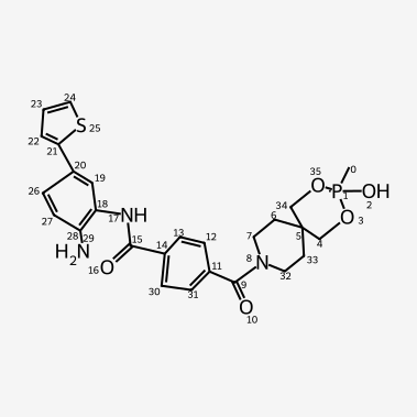 C[P]1(O)OCC2(CCN(C(=O)c3ccc(C(=O)Nc4cc(-c5cccs5)ccc4N)cc3)CC2)CO1